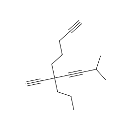 [C]#CC(C#CC(C)C)(CCC)CCCC#C